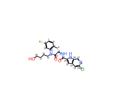 O=C(N[C@@H](Cc1ccc(F)cc1)C(=O)NCCCCO)c1cc2cc(Cl)ncc2[nH]1